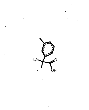 Cc1cccc(C(C)(N)C(=O)O)c1